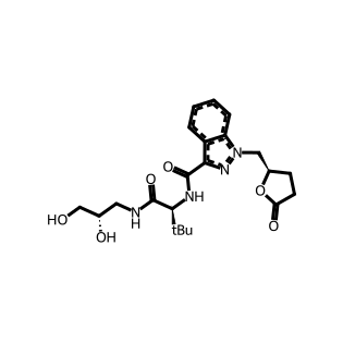 CC(C)(C)[C@H](NC(=O)c1nn(C[C@H]2CCC(=O)O2)c2ccccc12)C(=O)NC[C@H](O)CO